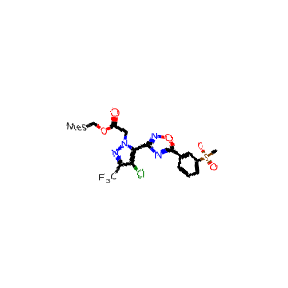 CSCOC(=O)Cn1nc(C(F)(F)F)c(Cl)c1-c1noc(-c2cccc(S(C)(=O)=O)c2)n1